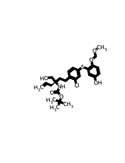 C=CC[C@@](CO)(CCc1ccc(Sc2cc(O)ccc2OCOC)cc1Cl)NC(=O)OC(C)(C)C